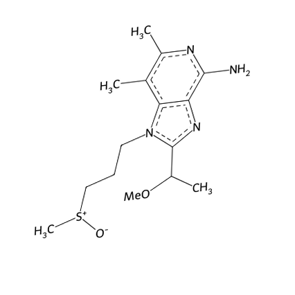 COC(C)c1nc2c(N)nc(C)c(C)c2n1CCC[S+](C)[O-]